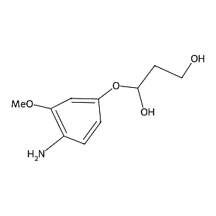 COc1cc(OC(O)CCO)ccc1N